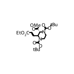 CCOC(=O)/C=C/C1[C@H](C(=O)OC)N(C(=O)OC(C)(C)C)CCN1C(=O)OC(C)(C)C